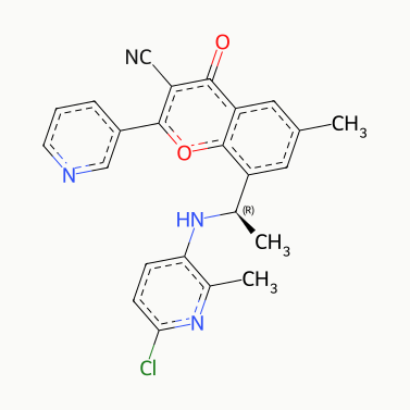 Cc1cc([C@@H](C)Nc2ccc(Cl)nc2C)c2oc(-c3cccnc3)c(C#N)c(=O)c2c1